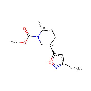 CCOC(=O)c1cc([C@@H]2CC[C@@H](C)N(C(=O)OC(C)(C)C)C2)on1